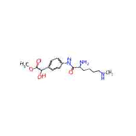 CNCCCC[C@H](N)C(=O)Nc1ccc(C(O)C(=O)OC)cc1